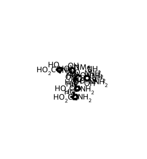 CN[C@@H]1[C@H](O[C@H]2[C@H](O[C@H]3[C@H](O)[C@@H](O)[C@H](N=C(N)N)[C@@H](O)[C@@H]3N=C(N)N)O[C@@H](C)[C@]2(O)CO)O[C@@H](CO)[C@H](O)[C@H]1O.Nc1ccc(C(=O)O)c(O)c1.Nc1ccc(C(=O)O)c(O)c1.Nc1ccc(C(=O)O)c(O)c1